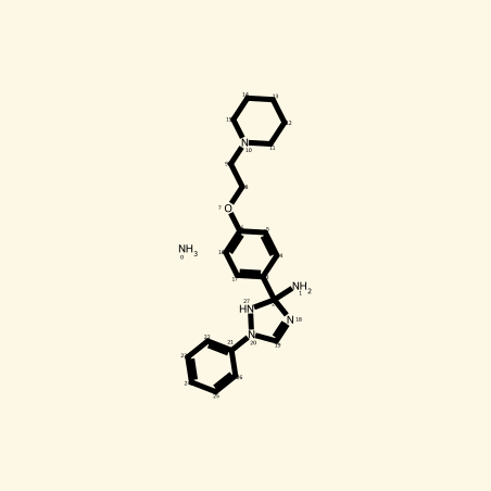 N.NC1(c2ccc(OCCN3CCCCC3)cc2)N=CN(c2ccccc2)N1